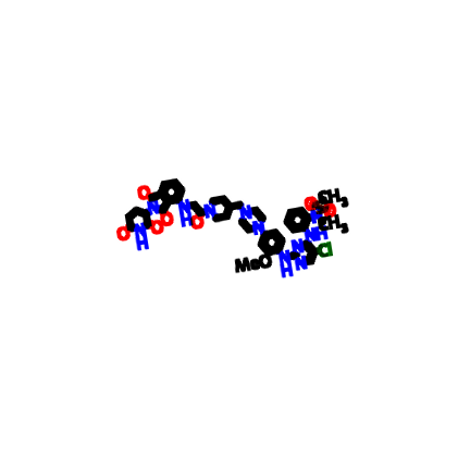 COc1cc(N2CCN(CC3CCN(C(=O)CNc4cccc5c4C(=O)N(C4CCC(=O)NC4=O)C5=O)CC3)CC2)ccc1Nc1ncc(Cl)c(Nc2ccccc2N(C)S(C)(=O)=O)n1